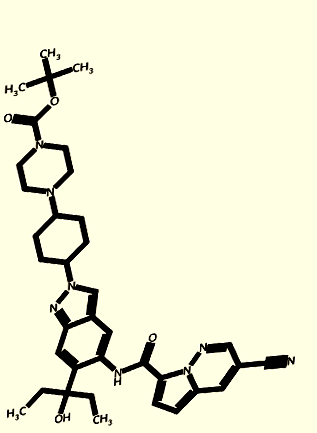 CCC(O)(CC)c1cc2nn(C3CCC(N4CCN(C(=O)OC(C)(C)C)CC4)CC3)cc2cc1NC(=O)c1ccc2cc(C#N)cnn12